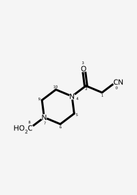 N#CCC(=O)N1CCN(C(=O)O)CC1